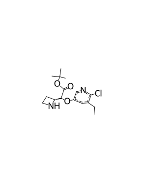 CCc1cc(OC(C(=O)OC(C)(C)C)[C@@H]2CCN2)cnc1Cl